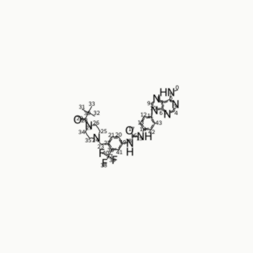 CNc1ncnc2c1ncn2-c1ccc(NC(=O)Nc2ccc(CN3CCN(C(=O)C(C)(C)C)CC3)c(C(F)(F)F)c2)cc1